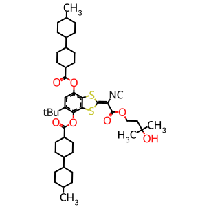 [C-]#[N+]/C(C(=O)OCCC(C)(C)O)=C1\Sc2c(OC(=O)C3CCC(C4CCC(C)CC4)CC3)cc(C(C)(C)C)c(OC(=O)C3CCC(C4CCC(C)CC4)CC3)c2S1